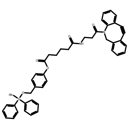 CC(C)(C)[Si](OCc1ccc(OC(=O)CCCCC(=O)NCCC(=O)N2Cc3ccccc3C#Cc3ccccc32)cc1)(c1ccccc1)c1ccccc1